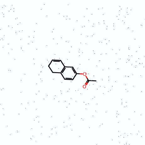 CC(=O)Oc1ccc2c(c1)C=CCC2